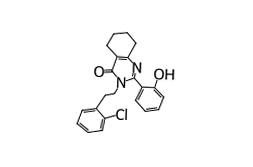 O=c1c2c(nc(-c3ccccc3O)n1CCc1ccccc1Cl)CCCC2